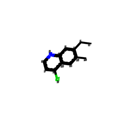 [CH2]Cc1cc2nccc(Cl)c2cc1C